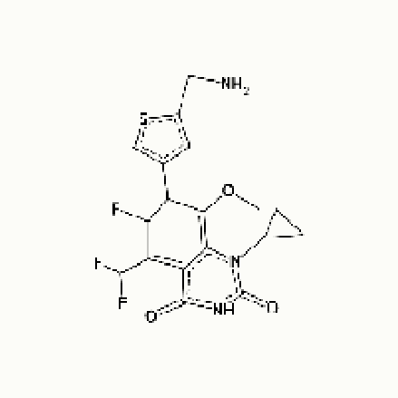 COC1=c2c(c(=O)[nH]c(=O)n2C2CC2)=C(C(F)F)C(F)C1c1csc(CN)c1